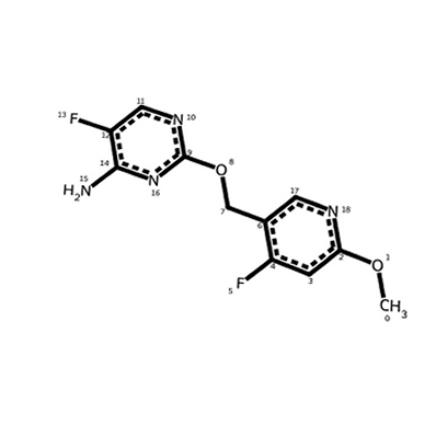 COc1cc(F)c(COc2ncc(F)c(N)n2)cn1